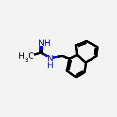 CC(=N)NCC1=CC=CC2C=CC=CC12